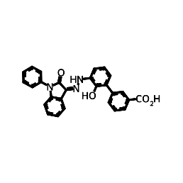 O=C(O)c1cccc(-c2cccc(NN=C3C(=O)N(c4ccccc4)c4ccccc43)c2O)c1